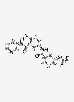 O=C(Nc1ccc(F)c(C(=O)Nc2cccnc2)c1)c1cccc(SC(F)F)c1